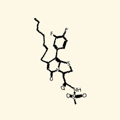 CCCCCCCc1cc(=O)n2c(c1-c1ccc(F)c(F)c1)SCC2C(=O)NS(C)(=O)=O